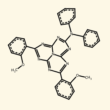 COc1ccccc1C1=NC2=NC(c3ccccc3OC)=NC3=NC(N(c4ccccc4)c4ccccc4)=NC(=N1)N23